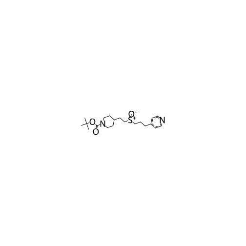 CC(C)(C)OC(=O)N1CCC(CC[S+]([O-])CCCc2ccncc2)CC1